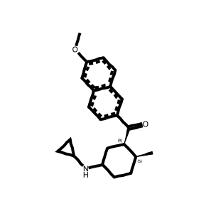 COc1ccc2cc(C(=O)[C@@H]3CC(NC4CC4)CC[C@@H]3C)ccc2c1